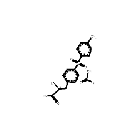 CC(=O)Cl.Cc1ccc(S(=O)(=O)c2ccc(C[C@H](N)C(=O)O)cc2)cc1